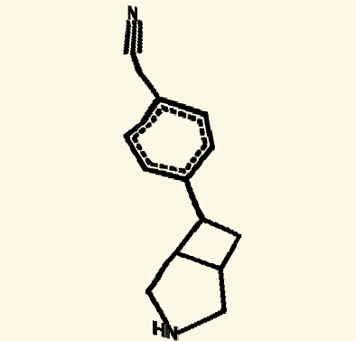 N#Cc1ccc(C2CC3CNCC32)cc1